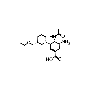 CCOC[C@@H]1CCCN([C@@H]2C=C(C(=O)O)C[C@H](N)[C@H]2NC(C)=O)C1